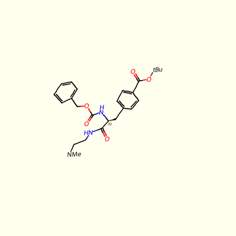 CNCCNC(=O)[C@H](Cc1ccc(C(=O)OC(C)(C)C)cc1)NC(=O)OCc1ccccc1